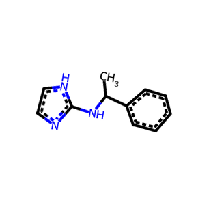 CC(Nc1ncc[nH]1)c1ccccc1